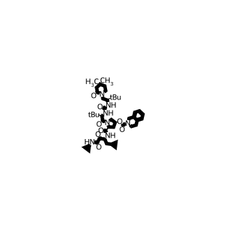 CC1(C)CCN(C[C@@H](NC(=O)N[C@H](C(=O)N2C[C@H](OC(=O)N3CCc4ccccc4C3)C[C@H]2C(=O)NC(CC2CC2)C(=O)C(=O)NC2CC2)C(C)(C)C)C(C)(C)C)C(=O)C1